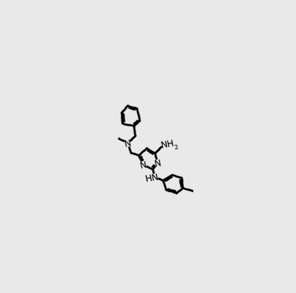 Cc1ccc(Nc2nc(N)cc(CN(C)Cc3ccccc3)n2)cc1